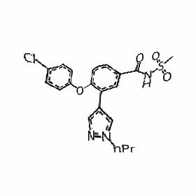 CCCn1cc(-c2cc(C(=O)NS(C)(=O)=O)ccc2Oc2ccc(Cl)cc2)cn1